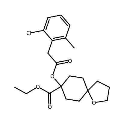 CCOC(=O)C1(OC(=O)Cc2c(C)cccc2Cl)CCC2(CCCO2)CC1